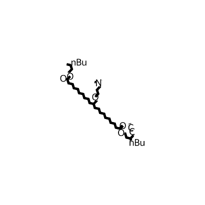 C=C=C=CC(CCCC)CCOC(=O)CCCCCCCCCC(CCCCCCCCCC(=O)OCCC(C)CCCC)COCCCN(C)C